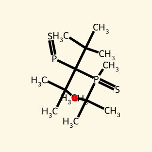 CC(C)(C)C(P=S)(C(C)(C)C)P(C)(=S)C(C)(C)C